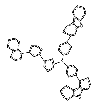 c1cc(-c2cccc(N(c3ccc(-c4ccc5c(c4)oc4ccccc45)cc3)c3ccc(-c4cccc5sc6ccccc6c45)cc3)c2)cc(-c2cccc3ccccc23)c1